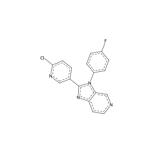 Fc1ccc(-n2c(-c3ccc(Cl)nc3)nc3ccncc32)cc1